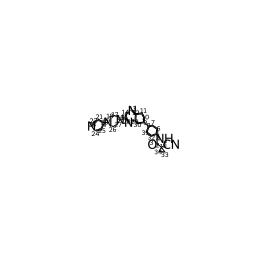 N#CC1(C(=O)Nc2ccc(-c3ccc4ncc(N5CCN(c6ccncc6)CC5)nc4c3)cc2)CC1